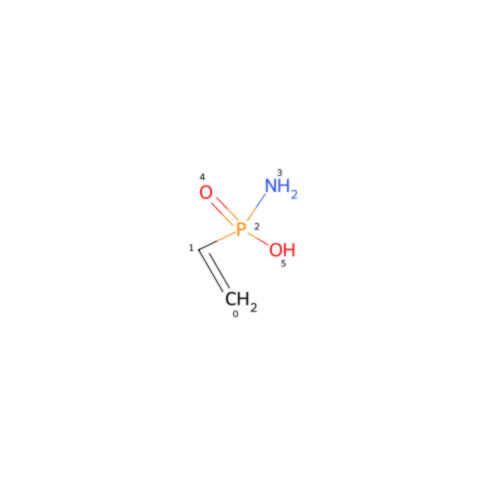 C=CP(N)(=O)O